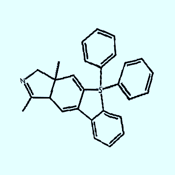 CC1=NCC2(C)C=C3C(=CC12)c1ccccc1S3(c1ccccc1)c1ccccc1